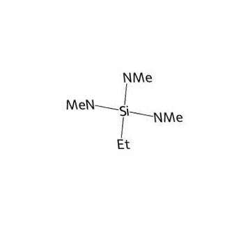 CC[Si](NC)(NC)NC